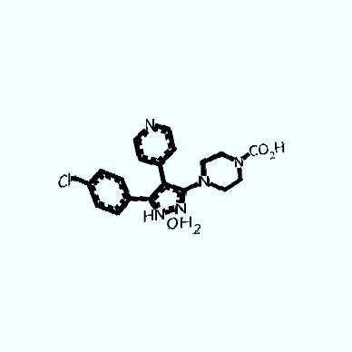 O.O=C(O)N1CCN(c2n[nH]c(-c3ccc(Cl)cc3)c2-c2ccncc2)CC1